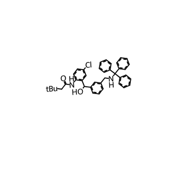 CC(C)(C)CC(=O)Nc1ccc(Cl)cc1C(O)c1cccc(CNC(c2ccccc2)(c2ccccc2)c2ccccc2)c1